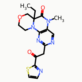 CCC12COCCN1c1nc(CC(=O)c3nccs3)ncc1N(C)C2=O